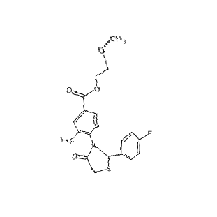 COCCOC(=O)c1ccc(N2C(=O)CSC2c2ccc(F)cc2)c(C)c1